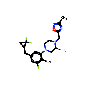 Cc1noc(CN2CCN(c3cc(CC4CC4(F)F)cc(F)c3C#N)C[C@@H]2C)n1